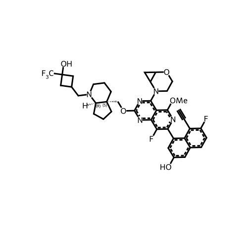 C#Cc1c(F)ccc2cc(O)cc(-c3nc(OC)c4c(N5CCOC6CC65)nc(OC[C@]56CCC[C@H]5N(CC5CC(O)(C(F)(F)F)C5)CCC6)nc4c3F)c12